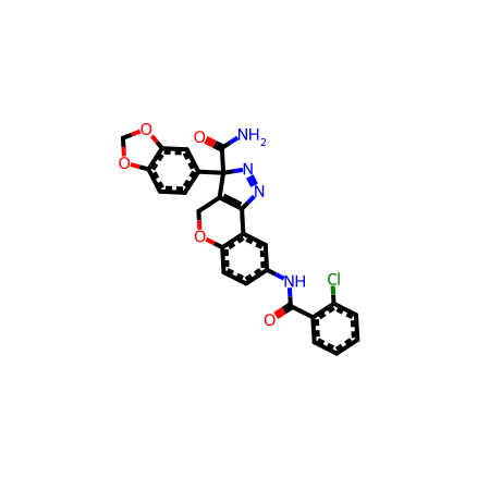 NC(=O)C1(c2ccc3c(c2)OCO3)N=NC2=C1COc1ccc(NC(=O)c3ccccc3Cl)cc12